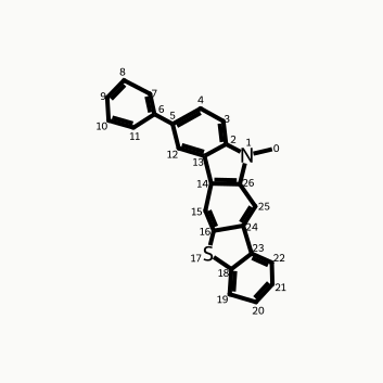 Cn1c2ccc(-c3ccccc3)cc2c2cc3sc4ccccc4c3cc21